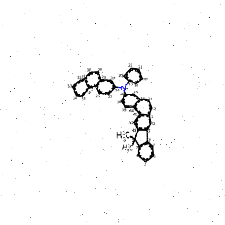 CC1(C)c2ccccc2-c2cc3ccc4cc(N(c5ccccc5)c5ccc6c(ccc7ccccc76)c5)ccc4c3cc21